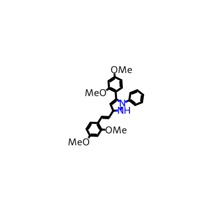 COc1ccc(C=CC2C=C(c3ccc(OC)cc3OC)N(c3ccccc3)N2)c(OC)c1